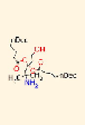 CCCCCCCCCCCCCC(=O)OC(CCO)(CC(C)(C)N)OC(=O)CCCCCCCCCCCCC